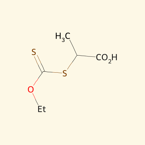 CCOC(=S)SC(C)C(=O)O